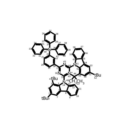 CC(C)(C)c1cc(C(C)(C)C)c2c(c1)c1ccccc1n2-c1nc(-c2cccc([Si](c3ccccc3)(c3ccccc3)c3ccccc3)c2)nc2[n+]1C(C)(C)c1cc(C(C)(C)C)cc3c4ccccc4n-2c13